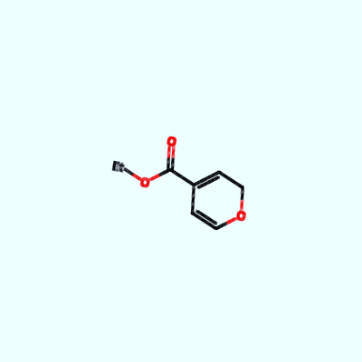 CCOC(=O)C1=CCOC=C1